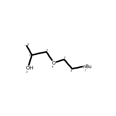 [CH2]C(O)COCCCCCC